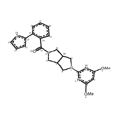 COc1cc(OC)nc(N2CC3CN(C(=O)c4ccccc4-c4cccs4)CC3C2)n1